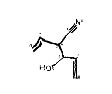 C=C[C](C#N)C(O)C=C